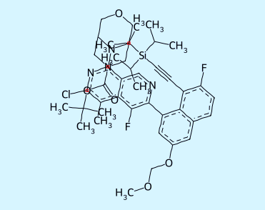 COCOc1cc(-c2ncc3c(N4C5COCC4CN(C(=O)OC(C)(C)C)C5)nc(Cl)c(C)c3c2F)c2c(C#C[Si](C(C)C)(C(C)C)C(C)C)c(F)ccc2c1